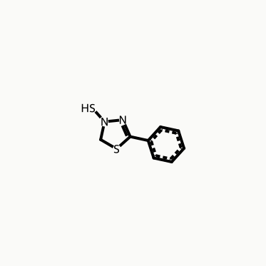 SN1CSC(c2ccccc2)=N1